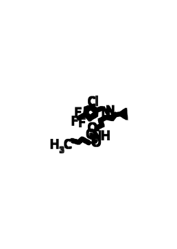 CCCCCS(=O)(=O)NC(=O)CCc1cc(C2CC2)nn1Cc1ccc(C(F)(F)F)cc1Cl